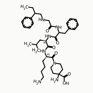 CCC(CNCC(=O)NC(Cc1ccccc1)C(=O)N[C@H](CC(C)C)C(=O)N[C@H](CCCCN)C(=O)N1CCC(N)(C(=O)O)CC1)c1ccccc1